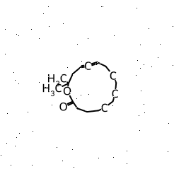 CC1(C)CC=C=CCCCCCCCCCC(=O)O1